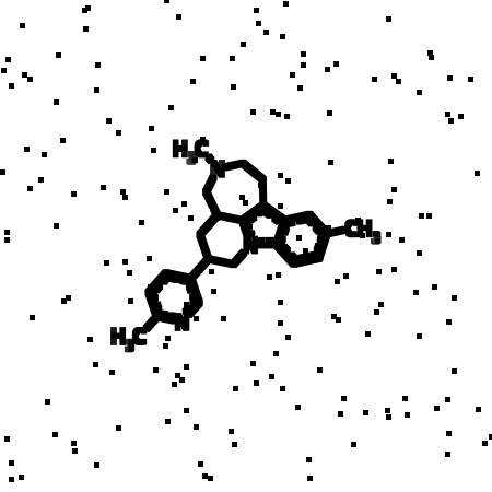 Cc1ccc2c(c1)c1c3n2CC(c2ccc(C)nc2)CC3CN(C)CC1